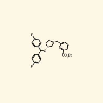 CCOC(=O)c1cccc(CN2CC[C@@H](OC(c3ccc(F)cc3)c3ccc(F)cc3)C2)n1